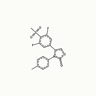 Cc1ccc(-n2c(-c3cc(F)c(S(C)(=O)=O)c(F)c3)coc2=O)cc1